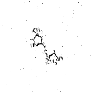 CC(C)CN(C)CCC1C[C@@H](C)CN1